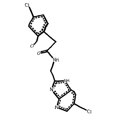 O=C(Cc1ccc(Cl)cc1Cl)NCc1nc2ncc(Cl)cc2[nH]1